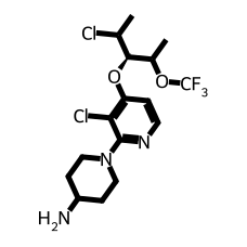 CC(Cl)[C@H](Oc1ccnc(N2CCC(N)CC2)c1Cl)C(C)OC(F)(F)F